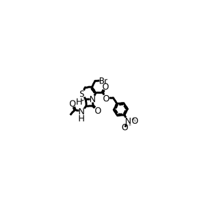 CC(=O)NC1C(=O)N2C(C(=O)OCc3ccc([N+](=O)[O-])cc3)=C(CBr)CS[C@H]12